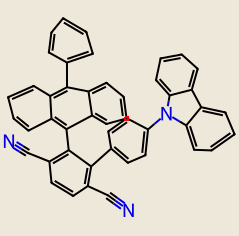 N#Cc1ccc(C#N)c(-c2c3ccccc3c(-c3ccccc3)c3ccccc23)c1-c1ccc(-n2c3ccccc3c3ccccc32)cc1